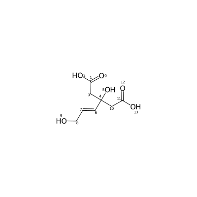 O=C(O)CC(O)(/C=C/CO)CC(=O)O